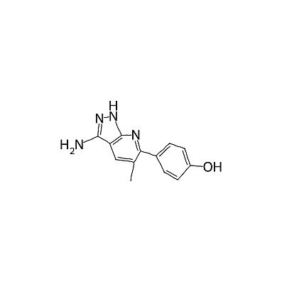 Cc1cc2c(N)n[nH]c2nc1-c1ccc(O)cc1